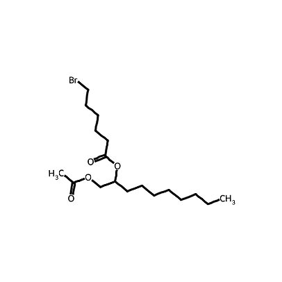 CCCCCCCCC(COC(C)=O)OC(=O)CCCCCBr